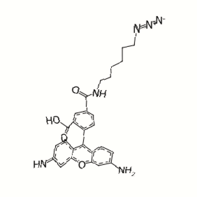 [N-]=[N+]=NCCCCCCNC(=O)c1ccc(-c2c3ccc(=N)cc-3oc3cc(N)ccc23)c(C(=O)O)c1